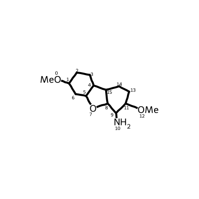 COC1CCC2C(C1)OC1C(N)C(OC)CCC21